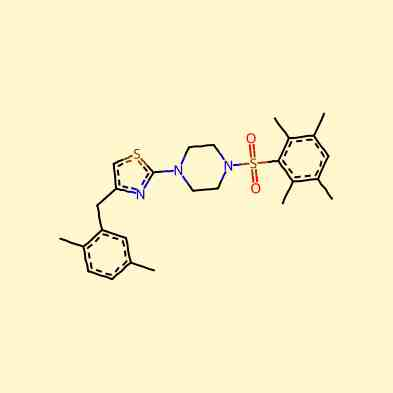 Cc1ccc(C)c(Cc2csc(N3CCN(S(=O)(=O)c4c(C)c(C)cc(C)c4C)CC3)n2)c1